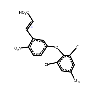 O=C(O)/C=C/c1cc(Oc2c(Cl)cc(C(F)(F)F)cc2Cl)ccc1[N+](=O)[O-]